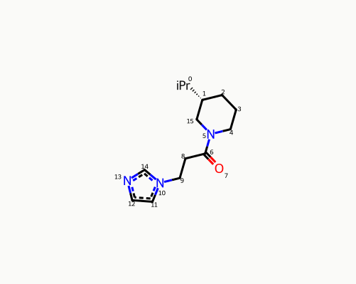 CC(C)[C@@H]1CCCN(C(=O)CCn2ccnc2)C1